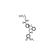 CCOC(=O)CCNC(=O)c1ccc(C(CC(=O)c2ccc(=O)n(C)c2)c2ccccc2C)cc1